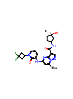 CNc1cc(Nc2cccn(C3CC(F)(F)C3)c2=O)nc2c(C(=O)NC3CC[C@@](C)(O)C3)cnn12